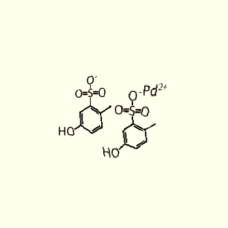 Cc1ccc(O)cc1S(=O)(=O)[O-].Cc1ccc(O)cc1S(=O)(=O)[O-].[Pd+2]